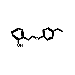 CCc1ccc(OCCc2ccccc2O)cc1